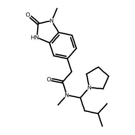 CC(C)CC(N1CCCC1)N(C)C(=O)Cc1ccc2c(c1)[nH]c(=O)n2C